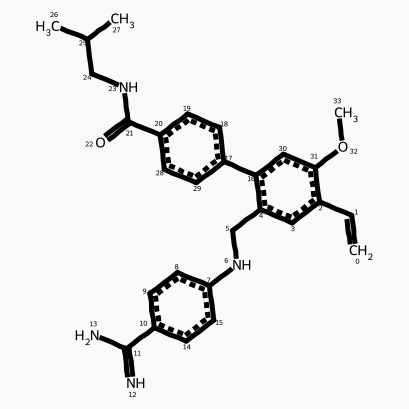 C=Cc1cc(CNc2ccc(C(=N)N)cc2)c(-c2ccc(C(=O)NCC(C)C)cc2)cc1OC